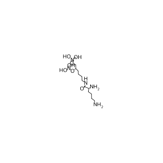 NCCCCC(N)C(=O)NCCCCC(CON(O)O)ON(O)O